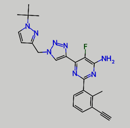 C#Cc1cccc(-c2nc(N)c(F)c(-c3cn(Cc4ccn(C(C)(C)C)n4)nn3)n2)c1C